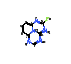 FC1=NC2=CC=CC3=NC=NC(=N1)N23